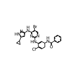 O=C(NC1C=C(Nc2ncc(Br)c(Nc3cc(C4CC4)[nH]n3)n2)C(Cl)=CC1)c1ccccc1